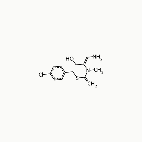 C=C(SCc1ccc(Cl)cc1)N(C)/C(=C\N)CO